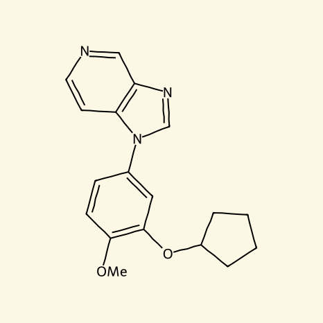 COc1ccc(-n2cnc3cnccc32)cc1OC1CCCC1